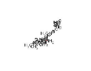 C[C@H]1CN(C2CCN(c3ccc4c(c3)C(=O)N(C3CCC(=O)NC3=O)C4=O)CC2)CCN1c1ccc(Nc2c(N3CCC[C@@H](N4CCn5c(cc6c5CC(C)(C)C6)C4=O)[C@@H]3C(C)(C)O)ccnc2C(N)=O)nc1